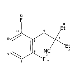 CCC(C#N)(CC)Cc1c(F)cccc1F